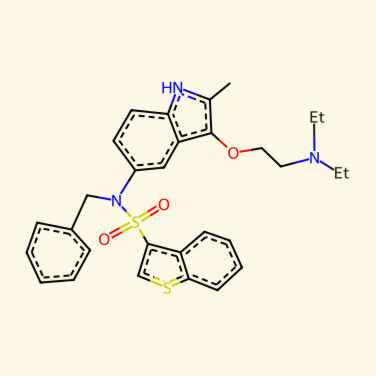 CCN(CC)CCOc1c(C)[nH]c2ccc(N(Cc3ccccc3)S(=O)(=O)c3csc4ccccc34)cc12